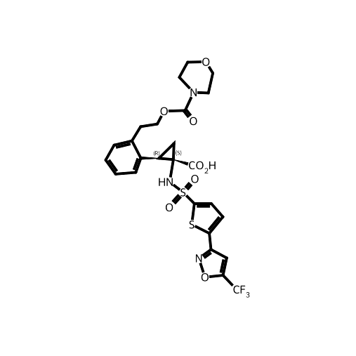 O=C(OCCc1ccccc1[C@H]1C[C@@]1(NS(=O)(=O)c1ccc(-c2cc(C(F)(F)F)on2)s1)C(=O)O)N1CCOCC1